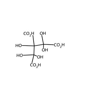 O=C(O)C(O)(O)C(O)(C(=O)O)C(O)(O)C(=O)O